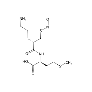 CSCC[C@H](NC(=O)[C@H](CCCN)CSN=O)C(=O)O